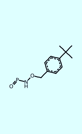 CC(C)(C)c1ccc(CONP=O)cc1